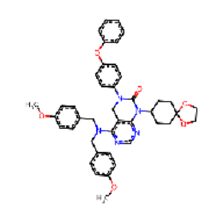 COc1ccc(CN(Cc2ccc(OC)cc2)c2ncnc3c2CN(c2ccc(Oc4ccccc4)cc2)C(=O)N3C2CCC3(CC2)OCCO3)cc1